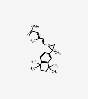 COC(=O)/C=C(C)/C=C/[C@@H]1C[C@]1(C)c1ccc2c(c1)C(C)(C)CCC2(C)C